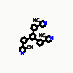 N#Cc1cnccc1-c1cccc(-c2cc(-c3cccc(-c4ccncc4C#N)c3)cc(-c3cccc(-c4ccncc4C#N)c3)c2)c1